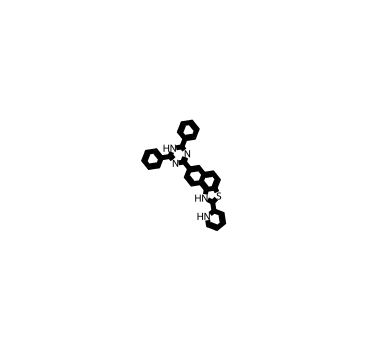 C1=CNC(C2Nc3c(ccc4cc(C5=NC(c6ccccc6)NC(c6ccccc6)=N5)ccc34)S2)C=C1